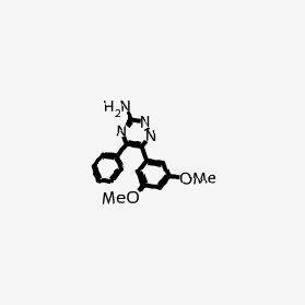 COc1cc(OC)cc(-c2nnc(N)nc2-c2ccccc2)c1